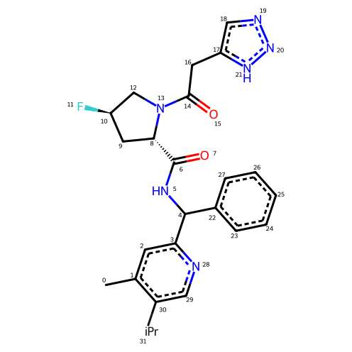 Cc1cc(C(NC(=O)[C@@H]2C[C@@H](F)CN2C(=O)Cc2cnn[nH]2)c2ccccc2)ncc1C(C)C